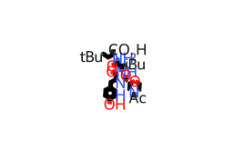 CCC(C)C(NC(=O)C(Cc1ccc(O)cc1)NC(=O)[C@H]1CN(C(C)=O)CCO1)C(=O)NC(CCC(C)(C)C)C(=O)O